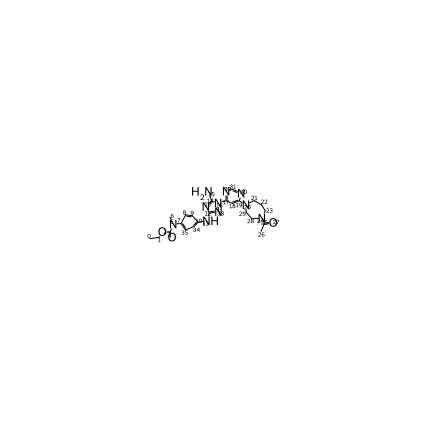 CCOC(=O)N(C)c1ccc(Nc2nc(N)n(-c3cc(N4CCCN(C(C)=O)CC4)ncn3)n2)cc1